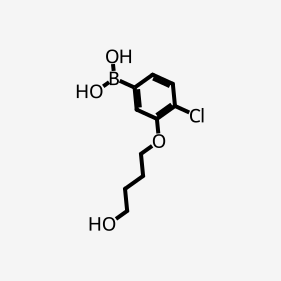 OCCCCOc1cc(B(O)O)ccc1Cl